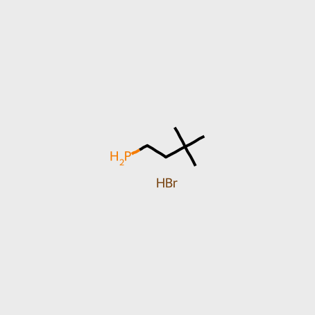 Br.CC(C)(C)CCP